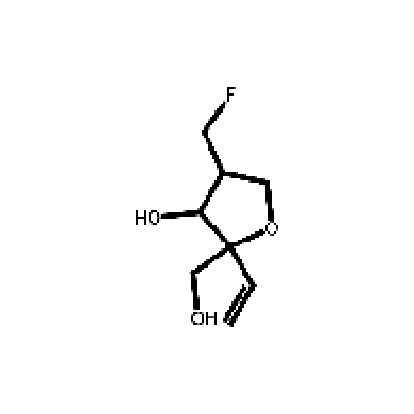 C=CC1(CO)OCC(CF)C1O